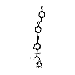 OC(Cn1cnnn1)C(F)(F)c1ccc(C#Cc2ccc(OCc3ccc(F)cc3)cc2)cn1